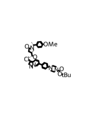 COc1ccc([C@@H](C)N2C[C@H]([C@@H](C)Oc3cc(-c4ccc(N5CCN(C(=O)OC(C)(C)C)CC5)cc4)cn4ncc(Cl)c34)CC2=O)cc1